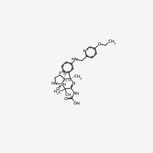 CCOc1ccc(CNc2ccc(F)c([C@@]3(C)N=C(NC(=O)O)C(C)(C)[SH]4(=O)NCC[C@@H]34)c2)nc1